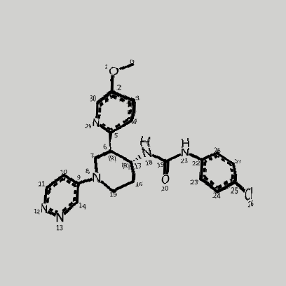 COc1ccc([C@@H]2CN(c3ccnnc3)CC[C@H]2NC(=O)Nc2ccc(Cl)cc2)nc1